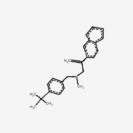 C=C(CN(C)Cc1ccc(C(C)(C)C)cc1)c1ccc2ccccc2c1